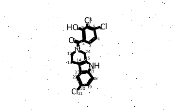 O=C(c1ccc(Cl)c(Cl)c1O)N1CCc2c([nH]c3ccc(Cl)cc23)C1